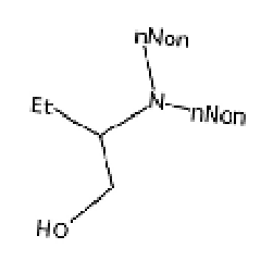 CCCCCCCCCN(CCCCCCCCC)C(CC)CO